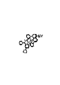 Brc1ccc2c3cccc(-c4nc(-c5ccccc5)c5cc(-c6ccccc6)ccc5n4)c3n3c4ccccc4c4ccc1c2c43